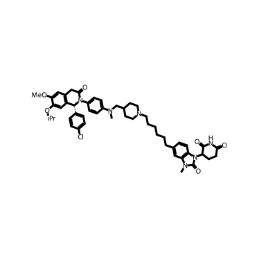 COc1cc2c(cc1OC(C)C)[C@@H](c1ccc(Cl)cc1)N(c1ccc(N(C)CC3CCN(CCCCCCc4ccc5c(c4)n(C)c(=O)n5C4CCC(=O)NC4=O)CC3)cc1)C(=O)C2